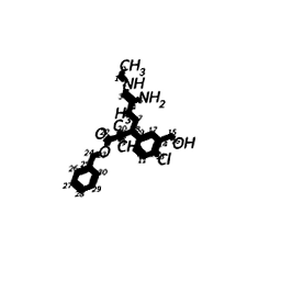 CCN/C=C(\N)CCC(c1ccc(Cl)c(CO)c1)C(C)(C)C(=O)OCc1ccccc1